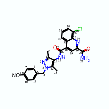 Cc1nn(Cc2ccc(C#N)cc2)c(C)c1NC(=O)c1cc(C(N)=O)nc2c(Cl)cccc12